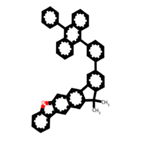 CC1(C)c2ccc(-c3cccc(-c4c5ccccc5c(-c5ccccc5)c5ccccc45)c3)cc2-c2cc3cc4oc5ccccc5c4cc3cc21